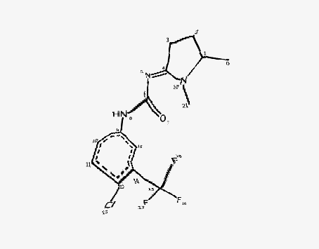 CC1CC/C(=N/C(=O)Nc2ccc(Cl)c(C(F)(F)F)c2)N1C